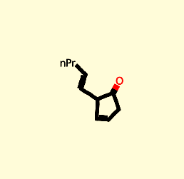 CCCC=CC1C=CCC1=O